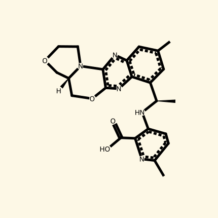 Cc1cc([C@@H](C)Nc2ccc(C)nc2C(=O)O)c2nc3c(nc2c1)N1CCOC[C@H]1CO3